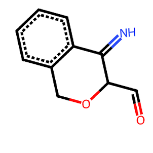 N=C1c2ccccc2COC1C=O